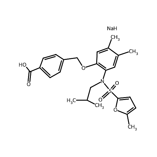 Cc1ccc(S(=O)(=O)N(CC(C)C)c2cc(C)c(C)cc2OCc2ccc(C(=O)O)cc2)o1.[NaH]